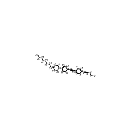 CCCC#Cc1ccc(C#Cc2ccc([C@H]3CC[C@H](CCCCCCCC)CC3)cc2)cc1